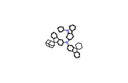 c1ccc(-n2c3ccccc3c3ccc(N(c4ccc5c(c4)-c4ccccc4C54C5CC6CC(C5)CC4C6)c4ccc5c(c4)C4(CCCCC4)c4ccccc4-5)cc32)cc1